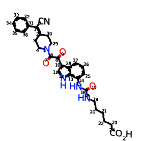 N#CC(=C1CCN(C(=O)C(=O)c2c[nH]c3c(NC(=O)NCCCCCC(=O)O)cccc23)CC1)c1ccccc1